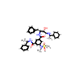 C[C@H](NC[C@@H](O)[C@H](Cc1ccccc1)NC(=O)c1cc(C(=O)N[C@H](C)c2ccccc2)cc(N(C)S(C)(=O)=O)c1)C1CCCCC1